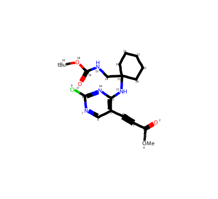 COC(=O)C#Cc1cnc(Cl)nc1NC1(CNC(=O)OC(C)(C)C)CCCCC1